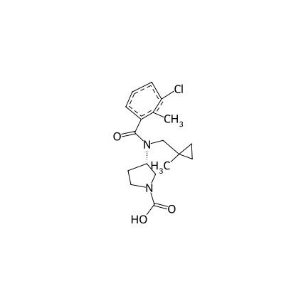 Cc1c(Cl)cccc1C(=O)N(CC1(C)CC1)[C@H]1CCN(C(=O)O)C1